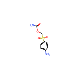 NC(=O)OCS(=O)(=O)c1ccc(N)cc1